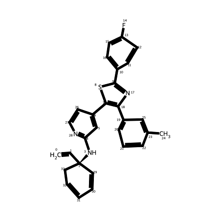 C=C[C@]1(Nc2cc(-c3sc(-c4ccc(F)cc4)nc3-c3cccc(C)c3)ccn2)C=CC=CC1